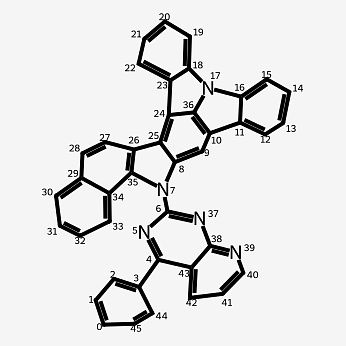 c1ccc(-c2nc(-n3c4cc5c6ccccc6n6c7ccccc7c(c4c4ccc7ccccc7c43)c56)nc3ncccc23)cc1